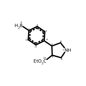 Bc1ccc(C2CNCC2C(=O)OCC)cc1